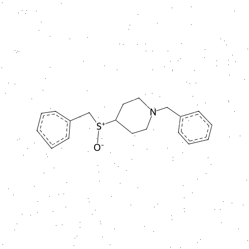 [O-][S+](Cc1ccccc1)C1CCN(Cc2ccccc2)CC1